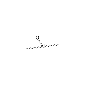 CCCCCCC[CH2][Al]([CH2]CCC=O)[CH2]CCCCCCC